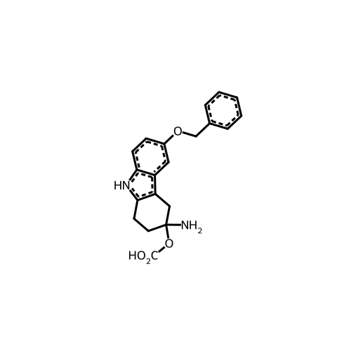 NC1(OC(=O)O)CCc2[nH]c3ccc(OCc4ccccc4)cc3c2C1